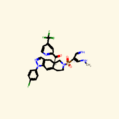 CN/C=C(\C=N)S(=O)(=O)N1CCC2=Cc3c(cnn3-c3ccc(F)cc3)C[C@]2(C(=O)c2cc(C(F)(F)F)ccn2)C1